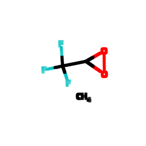 C.FC(F)(F)C1OO1